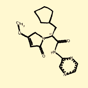 COC1=CC(=O)N([C@@H](CC2CCCC2)C(=O)Nc2cnccn2)C1